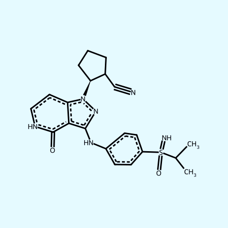 CC(C)S(=N)(=O)c1ccc(Nc2nn([C@H]3CCCC3C#N)c3cc[nH]c(=O)c23)cc1